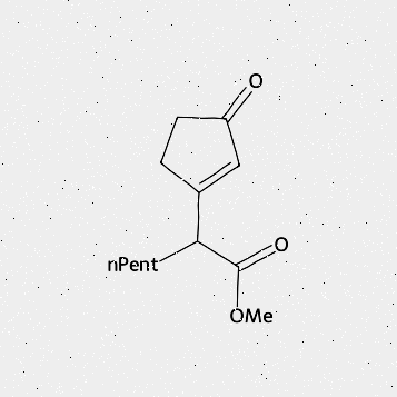 CCCCCC(C(=O)OC)C1=CC(=O)CC1